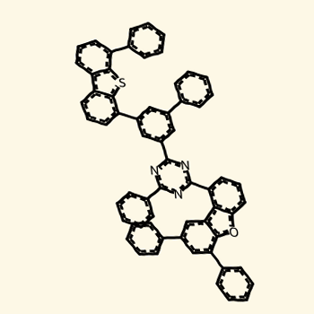 c1ccc(-c2cc(-c3nc(-c4ccccc4)nc(-c4cccc5oc6c(-c7ccccc7)cc(-c7ccccc7)cc6c45)n3)cc(-c3cccc4c3sc3c(-c5ccccc5)cccc34)c2)cc1